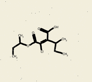 CCC(C)OC(=O)C(Cl)=C(C(=O)O)C(C)CC